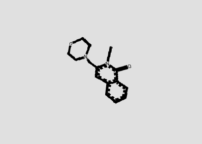 Cn1c(N2CCOCC2)cc2ccccc2c1=O